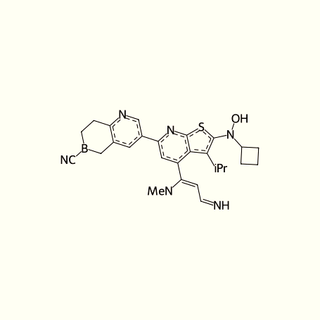 CN/C(=C\C=N)c1cc(-c2cnc3c(c2)CB(C#N)CC3)nc2sc(N(O)C3CCC3)c(C(C)C)c12